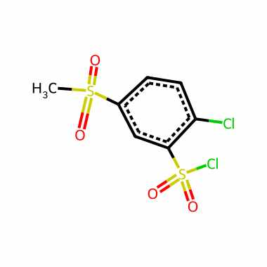 CS(=O)(=O)c1ccc(Cl)c(S(=O)(=O)Cl)c1